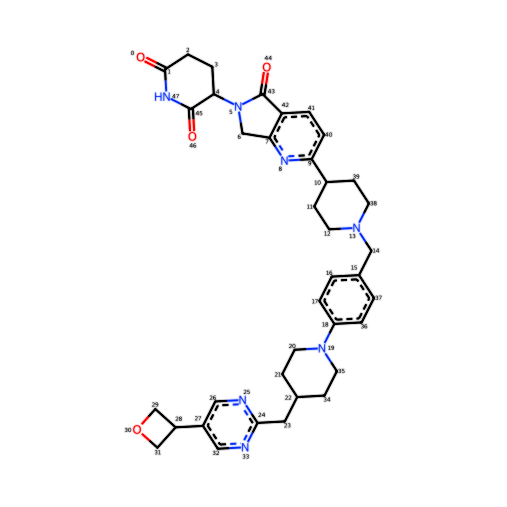 O=C1CCC(N2Cc3nc(C4CCN(Cc5ccc(N6CCC(Cc7ncc(C8COC8)cn7)CC6)cc5)CC4)ccc3C2=O)C(=O)N1